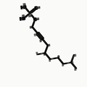 CC(C)CCCC(C)CC#CCOP(=O)(O)O